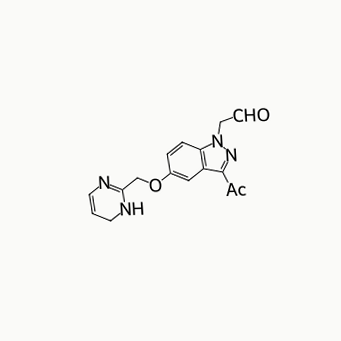 CC(=O)c1nn(CC=O)c2ccc(OCC3=NC=CCN3)cc12